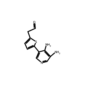 Nc1cncc(-c2ccc(CC=O)s2)c1N